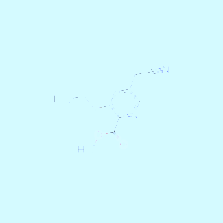 CCSc1cc(CC#N)cnc1C(=O)OC